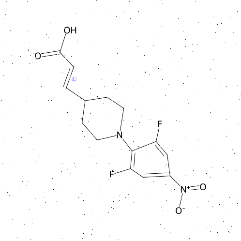 O=C(O)/C=C/C1CCN(c2c(F)cc([N+](=O)[O-])cc2F)CC1